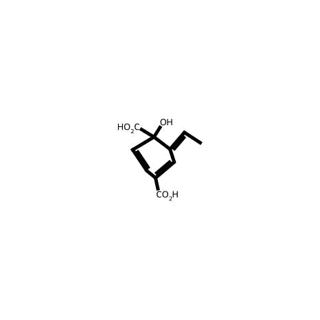 CC=C1C=C(C(=O)O)C=CC1(O)C(=O)O